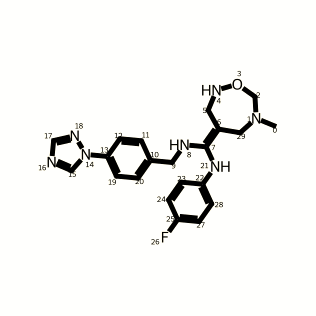 CN1CONC/C(=C(\NCc2ccc(-n3cncn3)cc2)Nc2ccc(F)cc2)C1